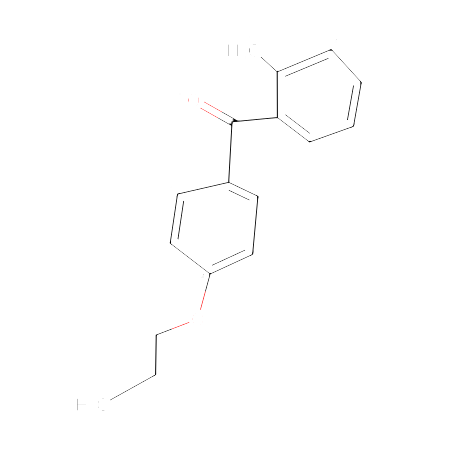 CCCOc1ccc(C(=O)c2ccccc2C)cc1